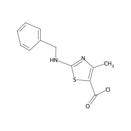 Cc1nc(NCc2ccccc2)sc1C(=O)Cl